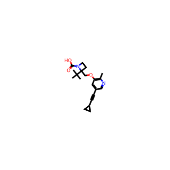 Cc1ncc(C#CC2CC2)cc1OCC1(C(C)(C)C)CCN1C(=O)O